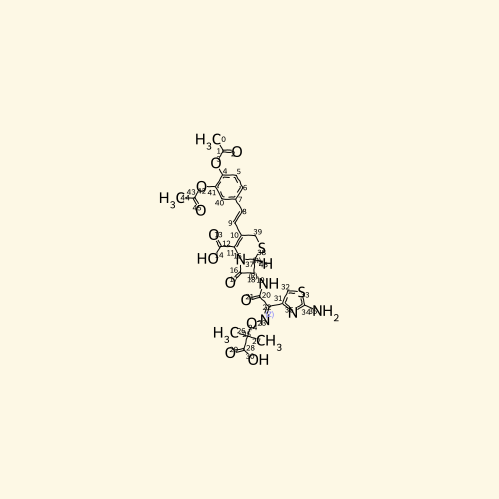 CC(=O)Oc1ccc(C=CC2=C(C(=O)O)N3C(=O)[C@@H](NC(=O)/C(=N\OC(C)(C)C(=O)O)c4csc(N)n4)[C@H]3SC2)cc1OC(C)=O